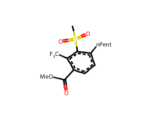 CCCCCc1ccc(C(=O)OC)c(C(F)(F)F)c1S(C)(=O)=O